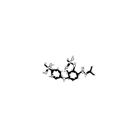 CC(C)=NNc1ccc(Oc2ccc(S(C)(=O)=O)nc2)c(F)c1OS(C)(=O)=O